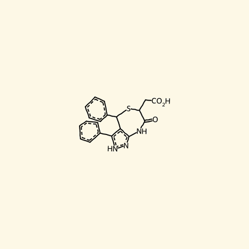 O=C(O)CC1SC(c2ccccc2)c2c(n[nH]c2-c2ccccc2)NC1=O